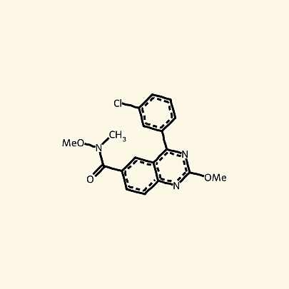 COc1nc(-c2cccc(Cl)c2)c2cc(C(=O)N(C)OC)ccc2n1